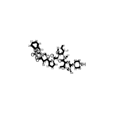 CC[C@H](C)[C@@H]([C@@H](CC(=O)N1CCCC1[C@H](OC)[C@@H](C)C(=O)N[C@@H](Cc1ccccc1)P(=O)(O)O)OC)N(C)C(=O)C(N=C(N(C)C)N1CCNCC1)C(C)C